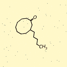 CCCCCC1CCCCCCCC(=O)C1